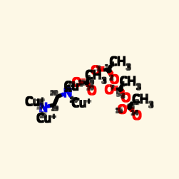 CC(=O)[O-].CC(=O)[O-].CC(=O)[O-].CC(=O)[O-].[Cu+][N]([Cu+])CC[N]([Cu+])[Cu+]